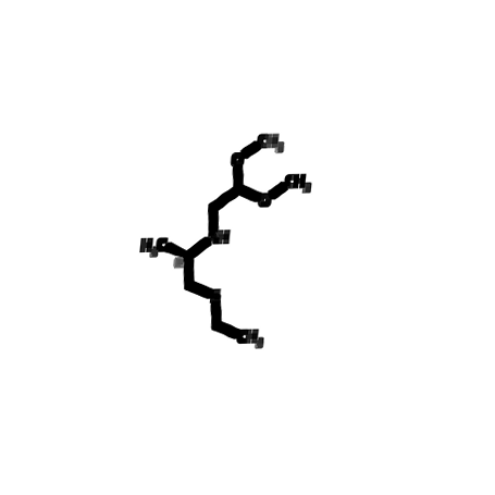 CCSC[C@@H](C)NCC(OC)OC